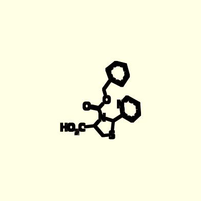 O=C(O)C1CSC(c2ccccn2)N1C(=O)OCc1ccccc1